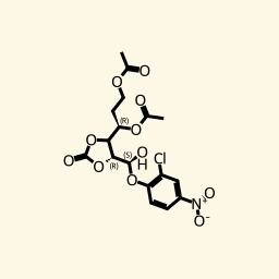 CC(=O)OCC[C@@H](OC(C)=O)C1OC(=O)O[C@H]1[C@@H](O)Oc1ccc([N+](=O)[O-])cc1Cl